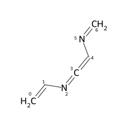 C=CN=C=CN=C